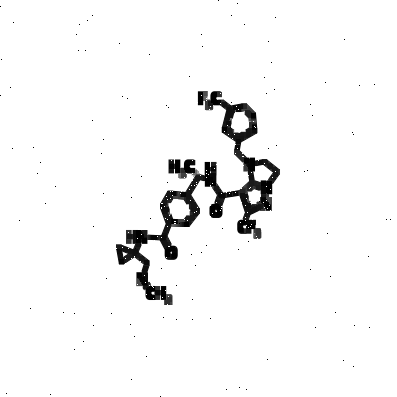 C=NCC1(NC(=O)c2ccc([C@H](C)NC(=O)c3c(C(F)(F)F)nn4c3N(Cc3cccc(C(F)(F)F)c3)CC4)cc2)CC1